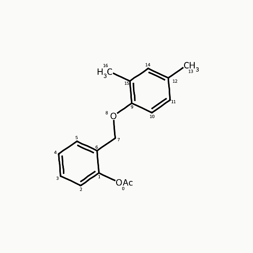 CC(=O)Oc1ccccc1COc1ccc(C)cc1C